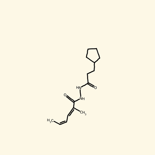 C/C=C\C=C(/C)C(=O)NNC(=O)CCC1CCCC1